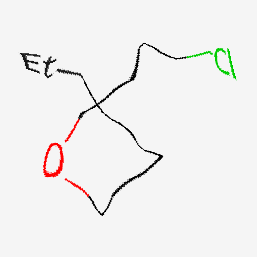 CCC1(CCl)CCO1